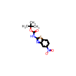 CC(C)(C)OC(=O)Nc1nc2cc([N+](=O)[O-])ccc2s1